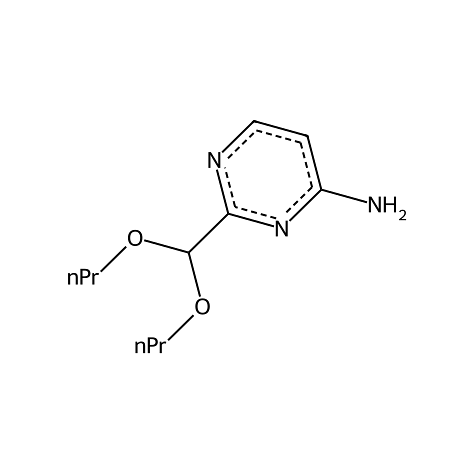 CCCOC(OCCC)c1nccc(N)n1